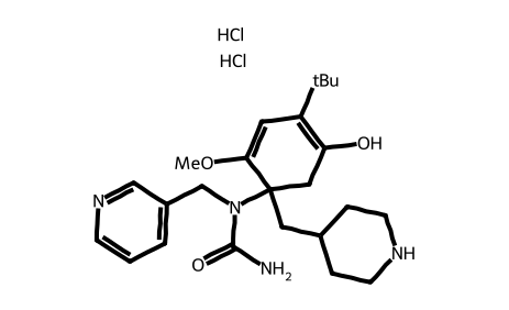 COC1=CC(C(C)(C)C)=C(O)CC1(CC1CCNCC1)N(Cc1cccnc1)C(N)=O.Cl.Cl